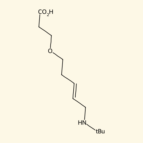 CC(C)(C)NCC=CCCOCCC(=O)O